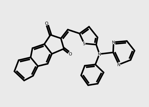 O=C1C(=Cc2ccc(N(c3ccccc3)c3ncccn3)s2)C(=O)c2cc3ccccc3cc21